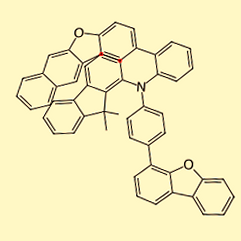 CC1(C)c2ccccc2-c2cccc(N(c3ccc(-c4cccc5c4oc4ccccc45)cc3)c3ccccc3-c3ccc4oc5cc6ccccc6cc5c4c3)c21